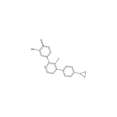 O=c1ccn(-c2nccc(-c3ccc(C4CC4)cc3)c2F)cc1O